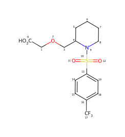 O=C(O)COCC1CCCCN1S(=O)(=O)c1ccc(C(F)(F)F)cc1